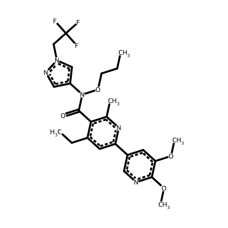 CCCON(C(=O)c1c(CC)cc(-c2cnc(OC)c(OC)c2)nc1C)c1cnn(CC(F)(F)F)c1